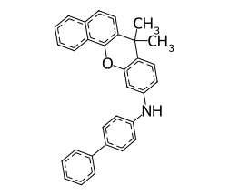 CC1(C)c2ccc(Nc3ccc(-c4ccccc4)cc3)cc2Oc2c1ccc1ccccc21